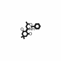 CC(C)CC(NC([O])c1ccccc1)=C1C(=O)CC(C)(C)CC1=O